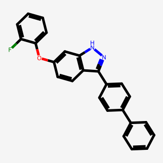 Fc1ccccc1Oc1ccc2c(-c3ccc(-c4ccccc4)cc3)n[nH]c2c1